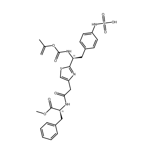 C=C(C)OC(=O)N[C@@H](Cc1ccc(NS(=O)(=O)O)cc1)c1nc(CC(=O)N[C@@H](Cc2ccccc2)C(=O)OC)cs1